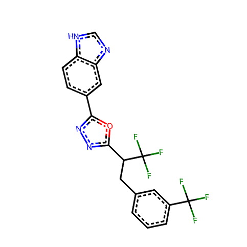 FC(F)(F)c1cccc(CC(c2nnc(-c3ccc4[nH]cnc4c3)o2)C(F)(F)F)c1